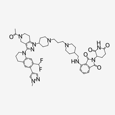 CC(=O)N1CCc2c(c(N3CCCc4cc(-c5cnn(C)c5)c(C(F)F)cc43)nn2C2CCN(CCCN3CCC(CNc4cccc5c4C(=O)N(C4CCC(=O)NC4=O)C5=O)CC3)CC2)C1